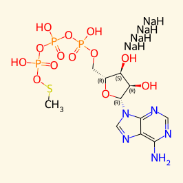 CSOP(=O)(O)OP(=O)(O)OP(=O)(O)OC[C@H]1O[C@@H](n2cnc3c(N)ncnc32)[C@H](O)[C@@H]1O.[NaH].[NaH].[NaH].[NaH]